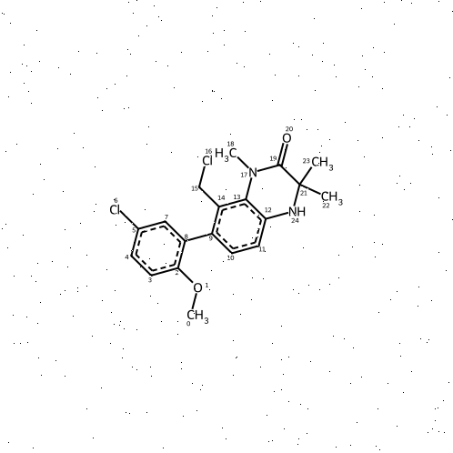 COc1ccc(Cl)cc1-c1ccc2c(c1CCl)N(C)C(=O)C(C)(C)N2